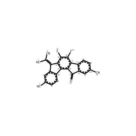 N#CC(C#N)=C1c2cc(C#N)ccc2-c2c1c(F)c(F)c1c2C(=O)c2cc(C#N)ccc2-1